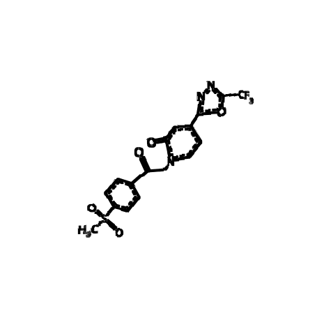 CS(=O)(=O)c1ccc(C(=O)Cn2ccc(-c3nnc(C(F)(F)F)o3)cc2=O)cc1